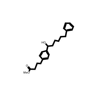 COC(=O)CCCc1ccc(C(O)CCCCCc2ccccc2)cc1